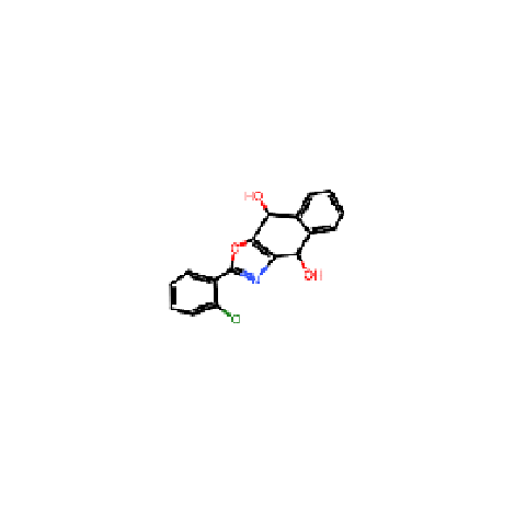 OC1c2ccccc2C(O)c2oc(-c3ccccc3Cl)nc21